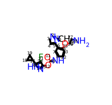 Cn1nccc1-c1cc(NC(=O)Oc2n[nH]c(C3CC3)c2F)ccc1OCCN